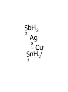 [Ag].[Cu].[SbH3].[SnH2]